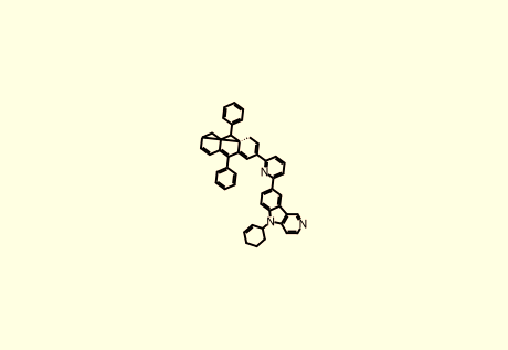 C1=CC(n2c3ccncc3c3cc(-c4cccc(C5=CC[C@]67C(=C5)C(c5ccccc5)=C5C=CC6CC5C7c5ccccc5)n4)ccc32)CCC1